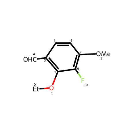 CCOc1c(C=O)ccc(OC)c1F